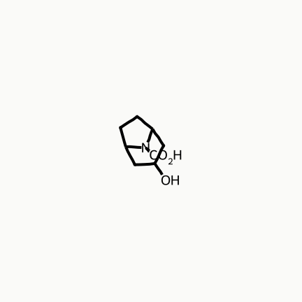 O=C(O)N1C2CCC1CC(O)C2